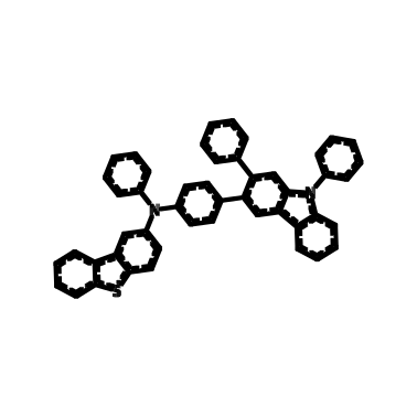 c1ccc(-c2cc3c(cc2-c2ccc(N(c4ccccc4)c4ccc5sc6ccccc6c5c4)cc2)c2ccccc2n3-c2ccccc2)cc1